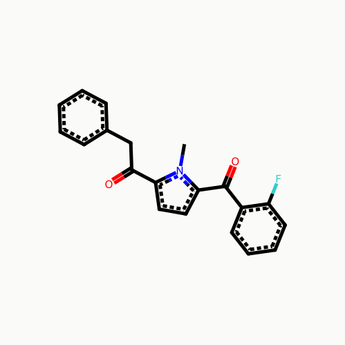 Cn1c(C(=O)Cc2ccccc2)ccc1C(=O)c1ccccc1F